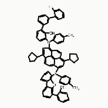 CCc1ccccc1-c1cccc(-c2cccc(N(c3ccc(C)cc3)c3cc(C4CCCC4)c4ccc5c(N(c6ccc(C)cc6)c6cccc7c6oc6c(-c8ccccc8CC)cccc67)cc(C6CCCC6)c6ccc3c4c65)c2O)c1